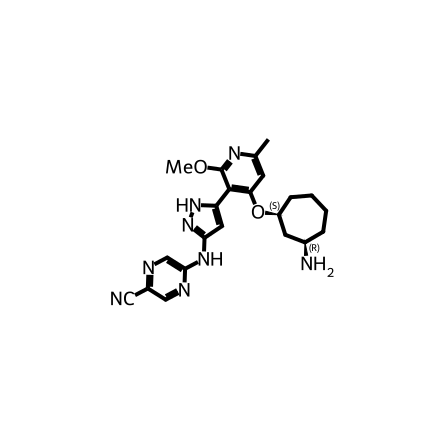 COc1nc(C)cc(O[C@H]2CCCC[C@@H](N)C2)c1-c1cc(Nc2cnc(C#N)cn2)n[nH]1